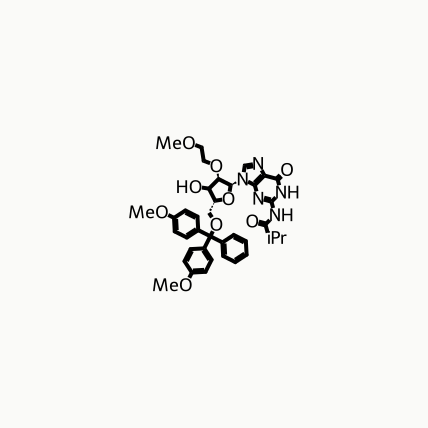 COCCO[C@H]1C(O)[C@@H](COC(c2ccccc2)(c2ccc(OC)cc2)c2ccc(OC)cc2)O[C@H]1n1cnc2c(=O)[nH]c(NC(=O)C(C)C)nc21